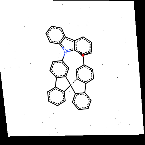 C=C(C)c1ccc2c(c1)[C@]1(c3ccccc3-2)c2ccccc2-c2ccc(-n3c4ccccc4c4ccccc43)cc21